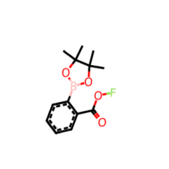 CC1(C)OB(c2ccccc2C(=O)OF)OC1(C)C